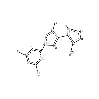 Cc1sc(-c2cc(F)cc(Cl)c2)nc1-c1nn[nH]c1C#N